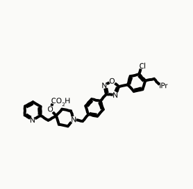 CC(C)Cc1ccc(-c2nc(-c3ccc(CN4CCC(Cc5ccccn5)(OC(=O)O)CC4)cc3)no2)cc1Cl